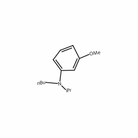 CCCCN(c1cccc(OC)c1)C(C)C